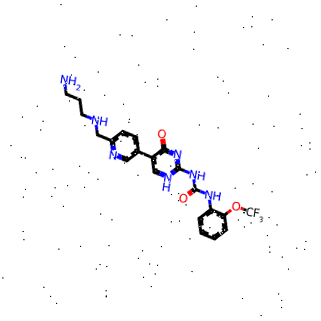 NCCCNCc1ccc(-c2c[nH]c(NC(=O)Nc3ccccc3OC(F)(F)F)nc2=O)cn1